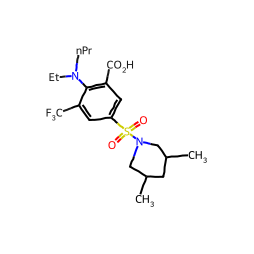 CCCN(CC)c1c(C(=O)O)cc(S(=O)(=O)N2CC(C)CC(C)C2)cc1C(F)(F)F